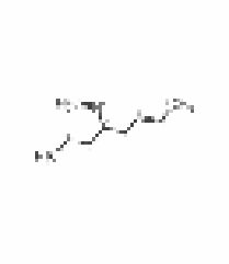 C=NC(C/C=C/C)CCC